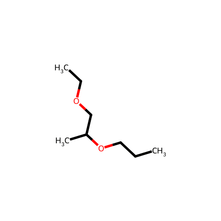 CCCOC(C)COCC